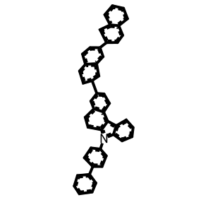 c1ccc(-c2ccc(-n3c4ccccc4c4c5ccc(-c6ccc7ccc(-c8ccc9ccccc9c8)cc7c6)cc5ccc43)cc2)cc1